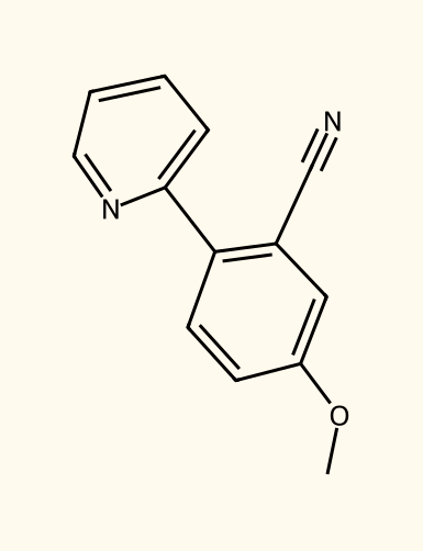 COc1ccc(-c2ccccn2)c(C#N)c1